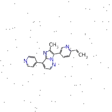 C=Cc1ccc(-c2c(C)nc3c(-c4ccncc4)ccnn23)cn1